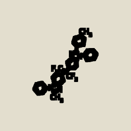 Cc1ccc(-c2nc3cc(C(c4ccc5c(c4)nc(C)n5-c4ccccc4)(C(F)(F)F)C(F)(F)F)ccc3n2-c2ccccc2)cc1